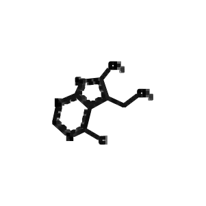 CCc1c(C)[se]c2ncnc(Cl)c12